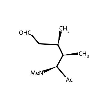 CN[C@H](C(C)=O)[C@H](C)[C@H](C)CC=O